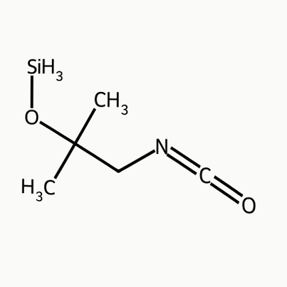 CC(C)(CN=C=O)O[SiH3]